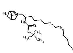 CC(C)(C)OC(=O)N[C@H](CCCCCC/C=C\CCCC#N)CC12CCCC(C1)C2(C)C